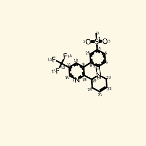 CS(=O)(=O)c1cccc(-c2cc(C(F)(F)F)cnc2C2CC=CCN2)c1